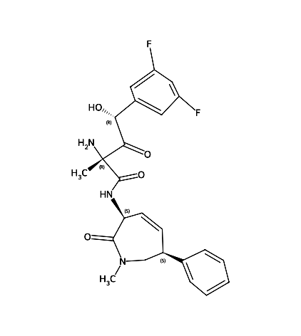 CN1C[C@H](c2ccccc2)C=C[C@H](NC(=O)[C@](C)(N)C(=O)[C@H](O)c2cc(F)cc(F)c2)C1=O